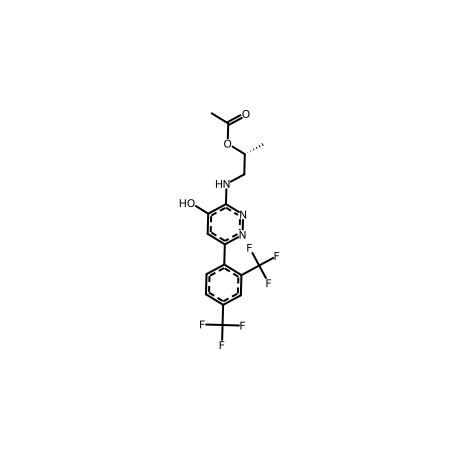 CC(=O)O[C@H](C)CNc1nnc(-c2ccc(C(F)(F)F)cc2C(F)(F)F)cc1O